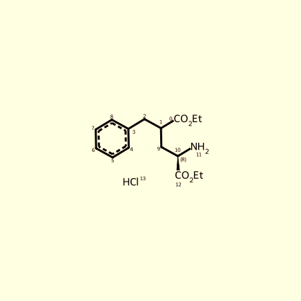 CCOC(=O)C(Cc1ccccc1)C[C@@H](N)C(=O)OCC.Cl